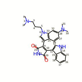 CN(C)CCCn1cc(C2=C(c3c[nH]c4ccccc34)C(=O)NC2=O)c2ccc(N(C)C)cc21